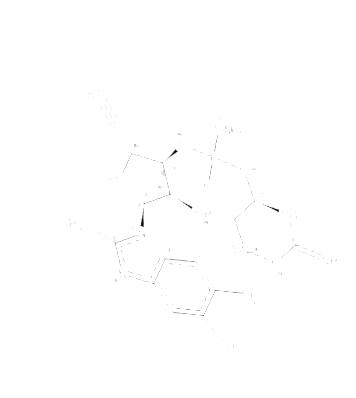 C#C[C@H]1O[C@H](n2c(C)nc3cc(C)c(C)cc32)[C@H](O)[C@@H]1O[P+]([O-])(OC)O[C@@H](C)CNOC=C